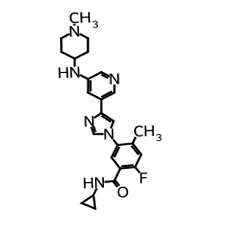 Cc1cc(F)c(C(=O)NC2CC2)cc1-n1cnc(-c2cncc(NC3CCN(C)CC3)c2)c1